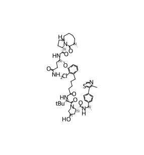 Cc1ncsc1-c1ccc([C@H](C)NC(=O)[C@@H]2C[C@@H](O)CN2C(=O)[C@@H](NC(=O)CCCCc2cccc(OC[C@H](CCC(N)=O)NC(=O)[C@@H]3CC[C@@H]4CCCC[C@H](C)C(=O)N43)c2Cl)C(C)(C)C)cc1